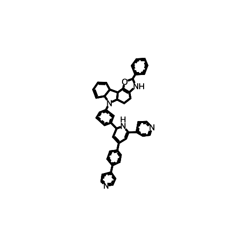 C1=CC2C3C4=C(CCC3N(c3cccc(C5C=C(c6ccc(-c7ccncc7)cc6)C=C(c6ccncc6)N5)c3)C2C=C1)NC(c1ccccc1)O4